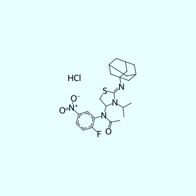 CC(=O)N(c1cc([N+](=O)[O-])ccc1F)C1CSC(=NC23CC4CC(CC(C4)C2)C3)N1C(C)C.Cl